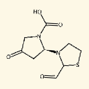 O=CC1SCCN1[C@H]1CC(=O)CN1C(=O)O